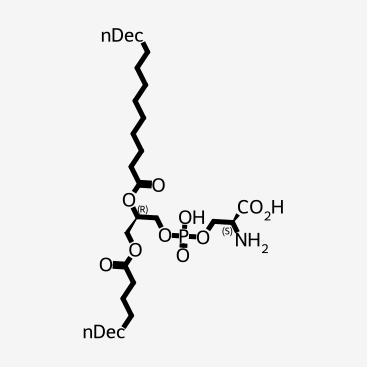 CCCCCCCCCCCCCCCCCCC(=O)O[C@H](COC(=O)CCCCCCCCCCCCC)COP(=O)(O)OC[C@H](N)C(=O)O